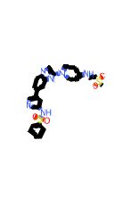 CS(=O)(=O)CCNC1CCN(c2cnc3ccc(-c4cncc(NS(=O)(=O)c5ccccc5)c4)cc3n2)CC1